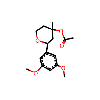 COc1cc(OC)cc(C2CC(C)(OC(C)=O)CCO2)c1